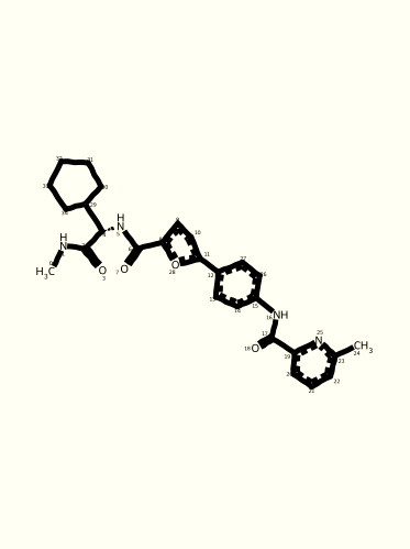 CNC(=O)[C@@H](NC(=O)c1ccc(-c2ccc(NC(=O)c3cccc(C)n3)cc2)o1)C1CCCCC1